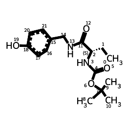 CC[C@H](NC(=O)OC(C)(C)C)C(=O)NCc1ccc(O)cc1